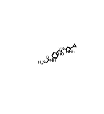 NCC(=O)Nc1ccc(CC(O)Nc2cc(C3CC3)[nH]n2)cc1